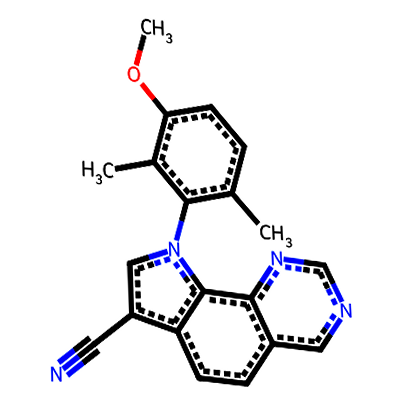 COc1ccc(C)c(-n2cc(C#N)c3ccc4cncnc4c32)c1C